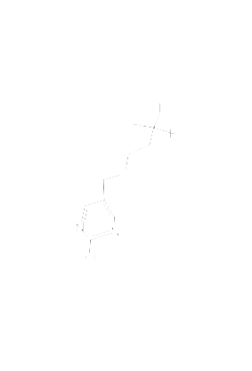 Cc1ncc(CSCCC(F)(F)F)cn1